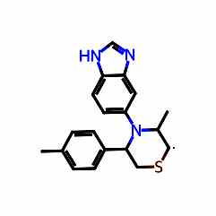 Cc1ccc(C2CS[CH]C(C)N2c2ccc3[nH]cnc3c2)cc1